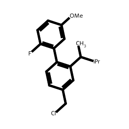 COc1ccc(F)c(-c2ccc(CCl)cc2C(C)C(C)C)c1